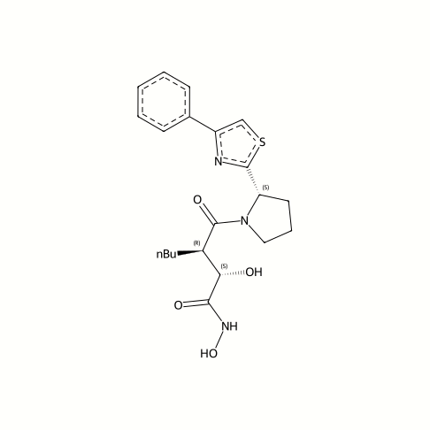 CCCC[C@@H](C(=O)N1CCC[C@H]1c1nc(-c2ccccc2)cs1)[C@H](O)C(=O)NO